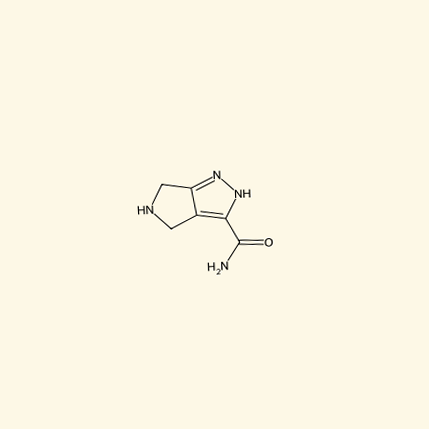 NC(=O)c1[nH]nc2c1CNC2